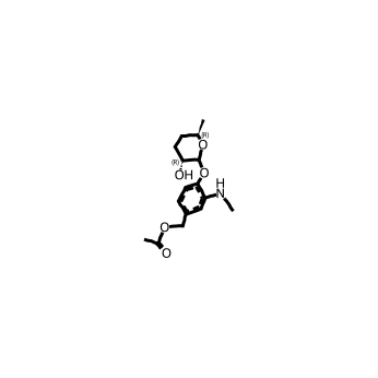 CNc1cc(COC(C)=O)ccc1OC1O[C@H](C)CC[C@H]1O